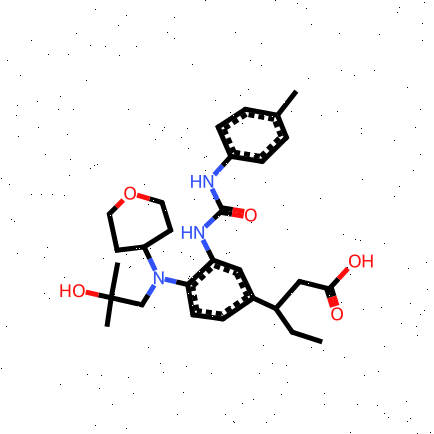 CCC(CC(=O)O)c1ccc(N(CC(C)(C)O)C2CCOCC2)c(NC(=O)Nc2ccc(C)cc2)c1